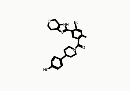 CCc1cc(C)c(C(=O)N2CCC(c3ccc(C#N)cc3)CC2)cc1-c1nc2c([nH]1)COCC2